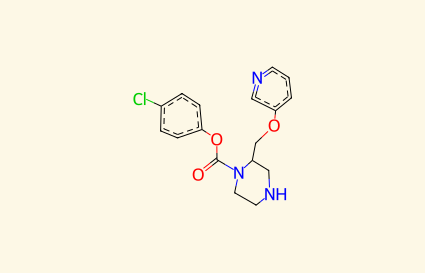 O=C(Oc1ccc(Cl)cc1)N1CCNCC1COc1cccnc1